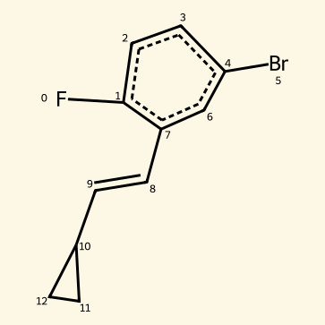 Fc1ccc(Br)cc1C=CC1CC1